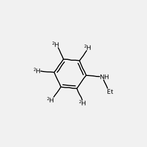 [2H]c1c([2H])c([2H])c(NCC)c([2H])c1[2H]